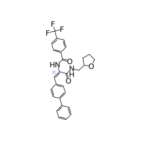 O=C(NCC1CCCO1)/C(=C\c1ccc(-c2ccccc2)cc1)NC(=O)c1ccc(C(F)(F)F)cc1